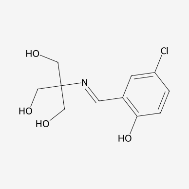 OCC(CO)(CO)/N=C/c1cc(Cl)ccc1O